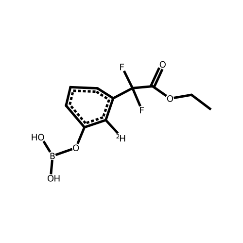 [2H]c1c(OB(O)O)cccc1C(F)(F)C(=O)OCC